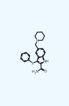 NC(=O)c1[nH]c2ccc(CN3CCCCC3)cc2c1Sc1ccccc1